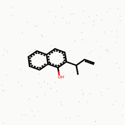 C=CC(C)c1ccc2ccccc2c1O